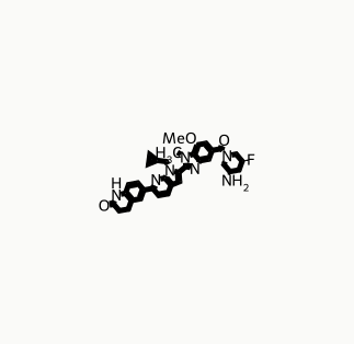 COc1cc(C(=O)N2C[C@H](N)C[C@@H](F)C2)cc2nc(-c3cc4ccc(-c5ccc6c(c5)CCC(=O)N6)nc4n3CC3CC3)n(C)c12